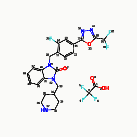 O=C(O)C(F)(F)F.O=c1n(Cc2ccc(-c3nnc(C(F)F)o3)cc2F)c2ccccc2n1CC1CCNCC1